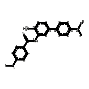 COc1ccc(C(=O)Nc2cc(-c3ccc([S+](C)[O-])cc3)ccc2N)cc1